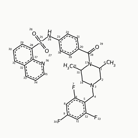 CC1CN(Cc2c(F)cc(F)cc2F)CC(C)N1C(=O)c1ccc(NS(=O)(=O)c2cccc3cccnc23)cc1